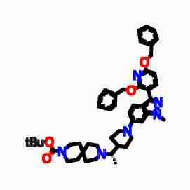 C[C@@H](C1CCN(c2ccc3c(-c4ccc(OCc5ccccc5)nc4OCc4ccccc4)nn(C)c3c2)CC1)N1CCC2(CCN(C(=O)OC(C)(C)C)CC2)CC1